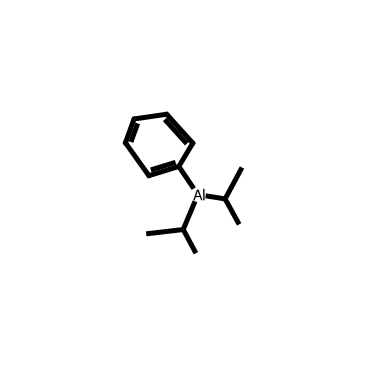 C[CH](C)[Al]([c]1ccccc1)[CH](C)C